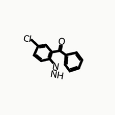 N=Nc1ccc(Cl)cc1C(=O)c1ccccc1